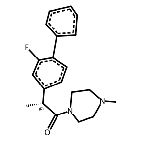 C[C@@H](C(=O)N1CCN(C)CC1)c1ccc(-c2ccccc2)c(F)c1